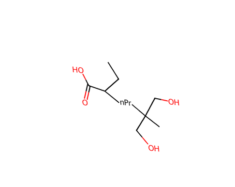 CCC(C)C(=O)O.CCCC(C)(CO)CO